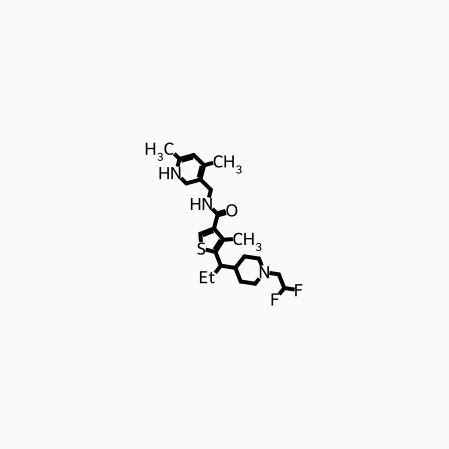 CCC(c1scc(C(=O)NCC2=C(C)C=C(C)NC2)c1C)C1CCN(CC(F)F)CC1